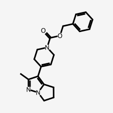 Cc1nn2c(c1C1=CCN(C(=O)OCc3ccccc3)CC1)CCC2